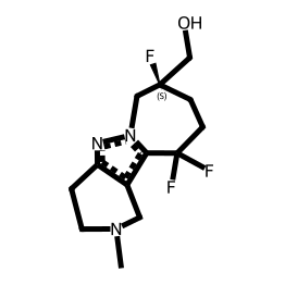 CN1CCc2nn3c(c2C1)C(F)(F)CC[C@@](F)(CO)C3